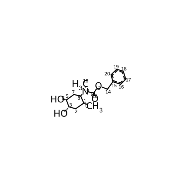 C[C@H]1C[C@H](O)[C@@H](O)C[C@H]1N(C)C(=O)OCc1ccccc1